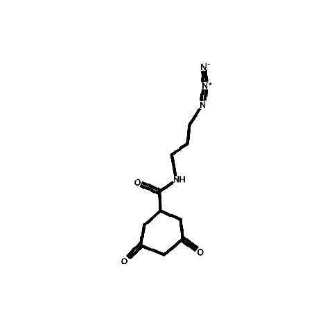 [N-]=[N+]=NCCCNC(=O)C1CC(=O)CC(=O)C1